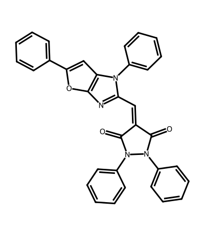 O=C1C(=Cc2nc3oc(-c4ccccc4)cc3n2-c2ccccc2)C(=O)N(c2ccccc2)N1c1ccccc1